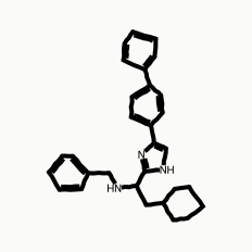 c1ccc(CNC(CC2CCCCC2)c2nc(-c3ccc(-c4ccccc4)cc3)c[nH]2)cc1